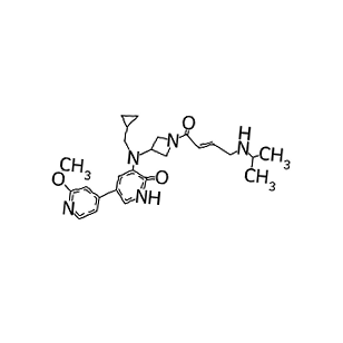 COc1cc(-c2c[nH]c(=O)c(N(CC3CC3)C3CN(C(=O)/C=C/CNC(C)C)C3)c2)ccn1